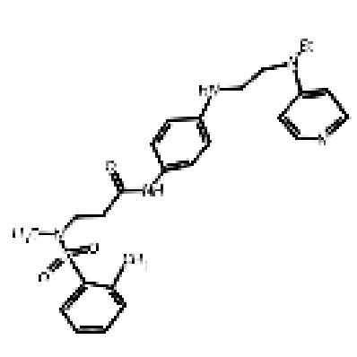 CCN(CCNc1ccc(NC(=O)CCN(C)S(=O)(=O)c2ccccc2C)cc1)c1ccncc1